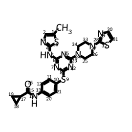 Cc1cnc(Nc2nc(Sc3ccc(NC(=O)C4CC4)cc3)nc(N3CCN(c4nccs4)CC3)n2)s1